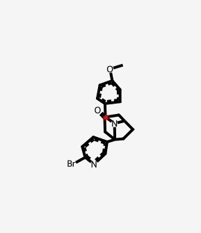 COc1ccc(CN2C3CCC2(c2ccc(Br)nc2)CC(=O)C3)cc1